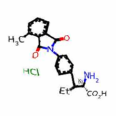 CCC(c1ccc(N2C(=O)c3cccc(C)c3C2=O)cc1)[C@H](N)C(=O)O.Cl